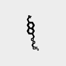 CCOOCc1ccc2cc(CBr)ccc2c1